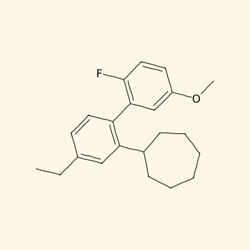 CCc1ccc(-c2cc(OC)ccc2F)c(C2CCCCCC2)c1